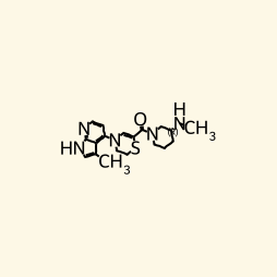 CN[C@@H]1CCCN(C(=O)C2=CN(c3ccnc4[nH]cc(C)c34)CCS2)C1